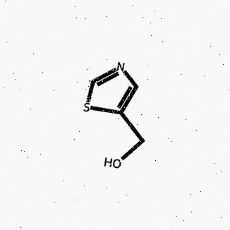 OCc1cn[c]s1